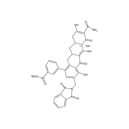 CO[N+](=O)c1cccc(-c2cc(CN3C(=O)c4ccccc4C3=O)c(O)c3c2CC2CC4CC(O)=C(C(N)=O)C(=O)[C@@]4(O)C(O)=C2C3=O)c1